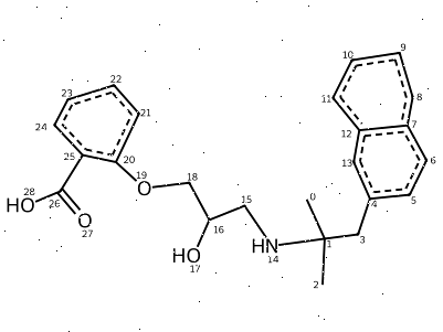 CC(C)(Cc1ccc2ccccc2c1)NCC(O)COc1ccccc1C(=O)O